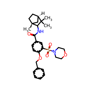 CC1(C)C(NC(=O)c2ccc(OCc3ccccc3)c(S(=O)(=O)N3CCOCC3)c2)[C@]2(C)CC[C@@H]1C2